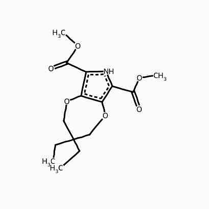 CCC1(CC)COc2c(C(=O)OC)[nH]c(C(=O)OC)c2OC1